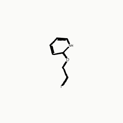 ICCOC1C=CC=CN1